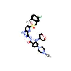 Cc1ccc(Cl)cc1CS(=O)(=O)c1ccc2[nH]nc(NC(=O)c3ccc(N4CCN(C)CC4)cc3NC3CCOCC3)c2n1